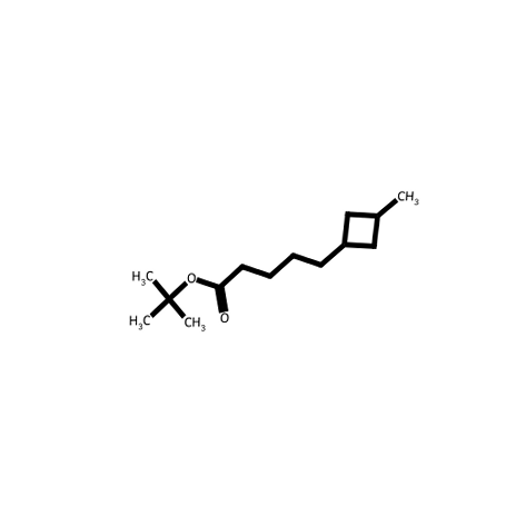 CC1CC(CCCCC(=O)OC(C)(C)C)C1